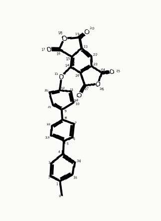 Cc1ccc(-c2ccc(-c3ccc(Oc4c5c(=O)oc(=O)c5cc5c(=O)oc(=O)c45)cc3)cc2)cc1